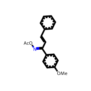 COc1ccc(C(C=Cc2ccccc2)=NOC(C)=O)cc1